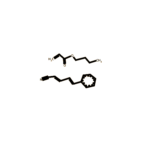 C=CC(=O)OCCCC.N#CC=CC=Cc1ccccc1